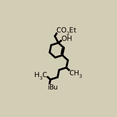 CCOC(=O)CC1(O)C=C(CC(C)CCC(C)C(C)CC)CCC1